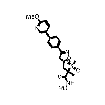 COc1ccc(-c2ccc(C3=NOC(CC(C)(C(=O)NO)S(C)(=O)=O)C3)cc2)cn1